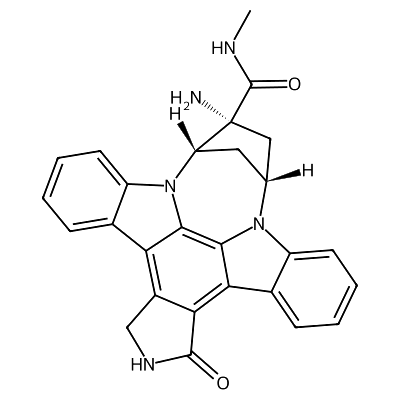 CNC(=O)[C@@]1(N)C[C@H]2C[C@@H]1n1c3ccccc3c3c4c(c5c6ccccc6n2c5c31)C(=O)NC4